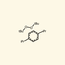 CC(C)(C)OOC(C)(C)C.CC(C)c1ccc(C(C)C)cc1